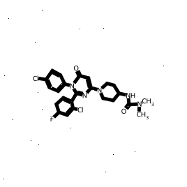 CN(C)C(=O)NC1CCN(c2cc(=O)n(-c3ccc(Cl)cc3)c(C3=CCC(F)C=C3Cl)n2)CC1